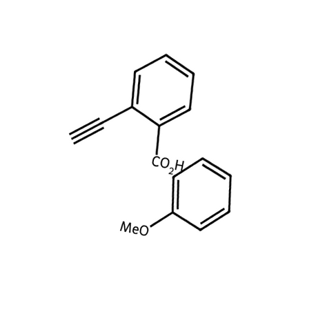 C#Cc1ccccc1C(=O)O.COc1ccccc1